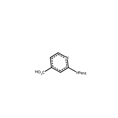 CCCCCc1cc(C(=O)O)ccn1